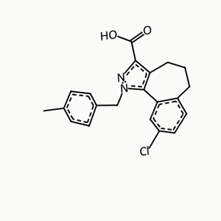 Cc1ccc(Cn2nc(C(=O)O)c3c2-c2cc(Cl)ccc2CCC3)cc1